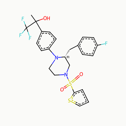 CC(O)(c1ccc(N2CCN(S(=O)(=O)c3cccs3)C[C@H]2Cc2ccc(F)cc2)cc1)C(F)(F)F